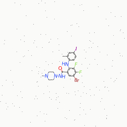 Cc1cc(I)ccc1Nc1c(C(=O)NN2CCN(C)CC2)cc(Br)c(F)c1F